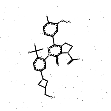 COc1cc(-c2nn(-c3cc(N4CC(CO)C4)ccc3C(F)(F)F)c(=O)c3c2CCN3C(N)=O)ccc1F